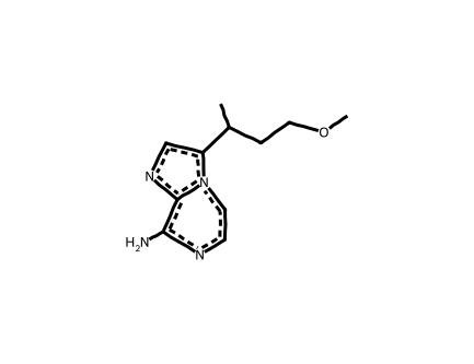 COCCC(C)c1cnc2c(N)nccn12